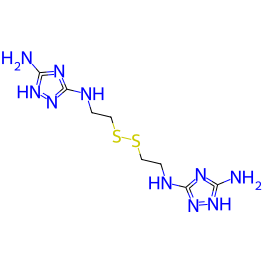 Nc1nc(NCCSSCCNc2n[nH]c(N)n2)n[nH]1